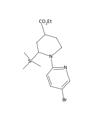 CCOC(=O)C1CCN(c2ccc(Br)cn2)C([Si](C)(C)C)C1